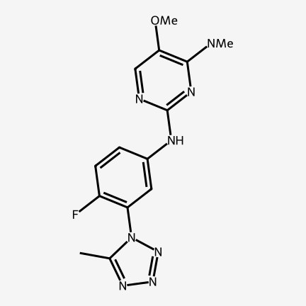 CNc1nc(Nc2ccc(F)c(-n3nnnc3C)c2)ncc1OC